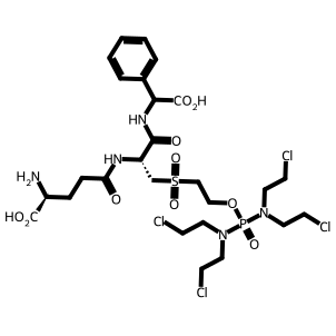 N[C@@H](CCC(=O)N[C@@H](CS(=O)(=O)CCOP(=O)(N(CCCl)CCCl)N(CCCl)CCCl)C(=O)NC(C(=O)O)c1ccccc1)C(=O)O